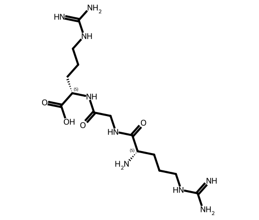 N=C(N)NCCC[C@H](NC(=O)CNC(=O)[C@@H](N)CCCNC(=N)N)C(=O)O